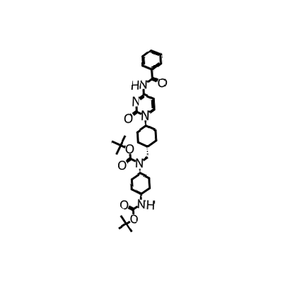 CC(C)(C)OC(=O)N[C@H]1CC[C@H](N(C[C@H]2CC[C@H](n3ccc(NC(=O)c4ccccc4)nc3=O)CC2)C(=O)OC(C)(C)C)CC1